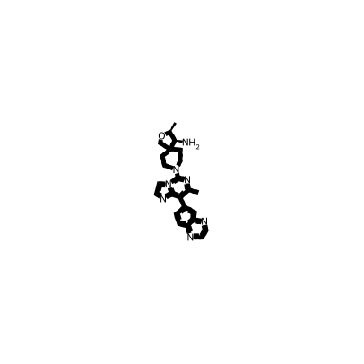 Cc1nc(N2CCC3(CC2)CO[C@@H](C)[C@H]3N)n2ccnc2c1-c1ccc2nccnc2c1